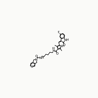 Cc1[nH]c(/C=C2\C(=O)Nc3ccc(F)cc32)c(C)c1C(=O)NCCCCCCNC(=O)N1Cc2ccncc2C1